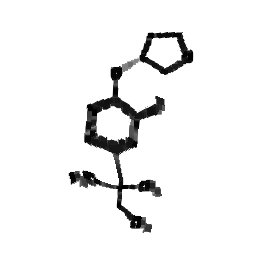 CCC(C)(C)c1ccc(O[C@@H]2CCOC2)c(F)c1